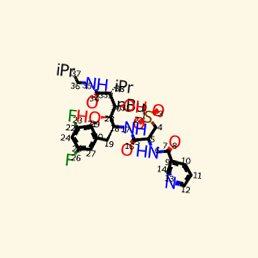 CCCCS(=O)(=O)CC(NC(=O)c1cccnc1)C(=O)N[C@@H](Cc1cc(F)cc(F)c1)[C@@H](O)[C@H](O)[C@H](C(=O)NCC(C)C)C(C)C